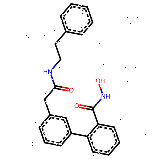 O=C(Cc1cccc(-c2ccccc2C(=O)NO)c1)NCCc1ccccc1